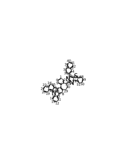 c1ccc2c(c1)-c1c(cc3c4ccccc4n4c5c6ccccc6ccc5c1c34)CCC2c1nc(-c2ccc3ccccc3c2)c2sc3ccccc3c2n1